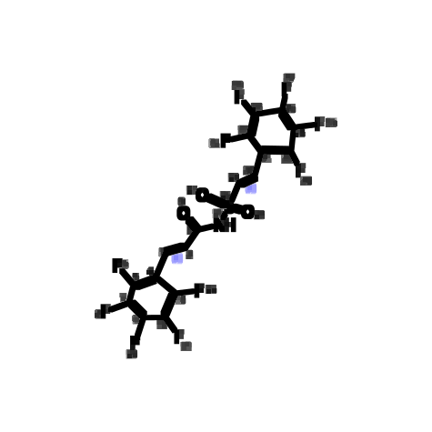 O=C(/C=C/c1c(F)c(F)c(F)c(F)c1F)NS(=O)(=O)/C=C/c1c(F)c(F)c(F)c(F)c1F